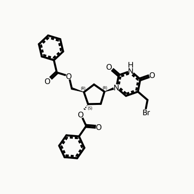 O=C(OC[C@H]1C[C@@H](n2cc(CBr)c(=O)[nH]c2=O)C[C@@H]1OC(=O)c1ccccc1)c1ccccc1